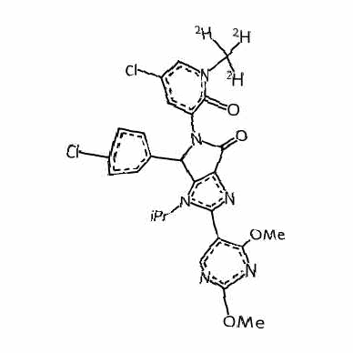 [2H]C([2H])([2H])n1cc(Cl)cc(N2C(=O)c3nc(-c4cnc(OC)nc4OC)n(C(C)C)c3C2c2ccc(Cl)cc2)c1=O